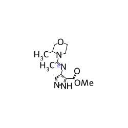 COC(=O)c1[nH]ncc1/N=C(\C)N1CCOCC1C